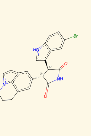 O=C1NC(=O)[C@H](c2c[nH]c3ccc(Br)cc23)[C@H]1c1cc2c3c(ccn3CCC2)c1